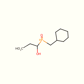 O=C(O)CC(O)[PH](=O)CC1CCCCC1